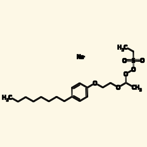 CCCCCCCCc1ccc(OCCOC(C)OOS(=O)(=O)CC)cc1.[Na]